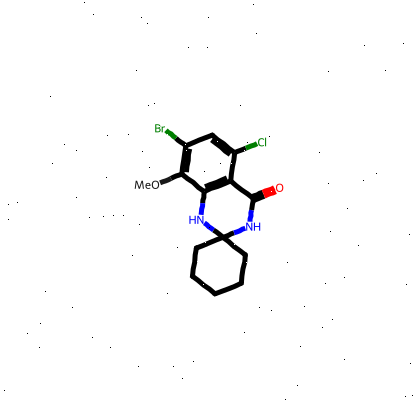 COc1c(Br)cc(Cl)c2c1NC1(CCCCC1)NC2=O